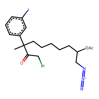 CC(=O)OC(CCCCCC(C)(C(=O)CBr)c1cccc(I)c1)CN=[N+]=[N-]